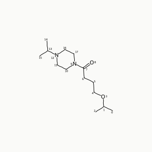 CC(C)OCCCC(=O)N1CCN(C(C)C)CC1